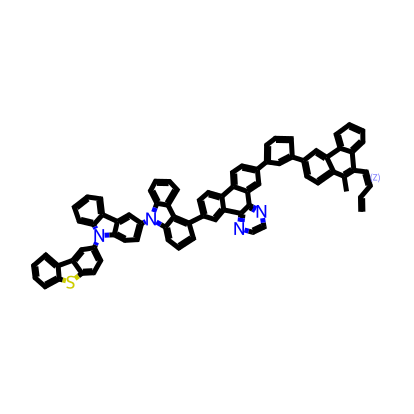 C=C/C=C\c1c(C)c2ccc(-c3cccc(-c4ccc5c6ccc(-c7cccc8c7c7ccccc7n8-c7ccc8c(c7)c7ccccc7n8-c7ccc8sc9ccccc9c8c7)cc6c6nccnc6c5c4)c3)cc2c2ccccc12